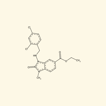 CCOC(=O)c1ccc2c(c1)n(NCc1ccc(Cl)cc1Cl)c(=O)n2C